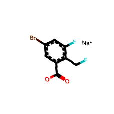 O=C([O-])c1cc(Br)cc(F)c1CF.[Na+]